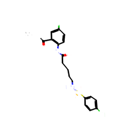 COC(=O)c1cc(Cl)ccc1NC(=O)CCCCNS(=O)(=O)c1ccc(Cl)cc1